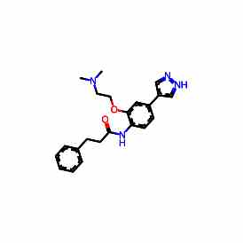 CN(C)CCOc1cc(-c2cn[nH]c2)ccc1NC(=O)CCc1ccccc1